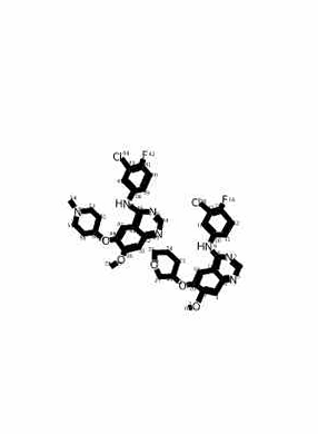 COc1cc2ncnc(Nc3ccc(F)c(Cl)c3)c2cc1OC1CCCOC1.COc1cc2ncnc(Nc3ccc(F)c(Cl)c3)c2cc1OC1CCN(C)CC1